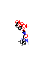 C#C/C=C(\C=N/C)CC(=O)N1CC(Oc2ccc3c(c2C(=O)O)OB(O)CC3)C1